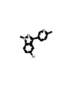 CC(=O)c1ccc2c(c1)c(-c1ccc(C)nc1)nn2C